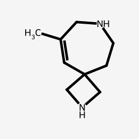 CC1=CC2(CCNC1)CNC2